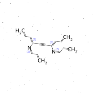 C=C/C=N\C(C#CC(=C/C=C)/N=C\C=C)=C/C=C